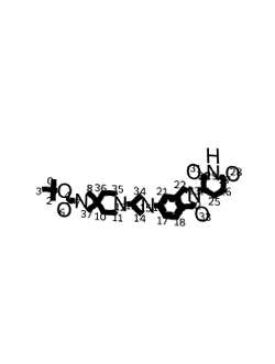 CC(C)(C)OC(=O)N1CC2(CCN(C3CN(c4ccc5c(c4)CN(C4CCC(=O)NC4=O)C5=O)C3)CC2)C1